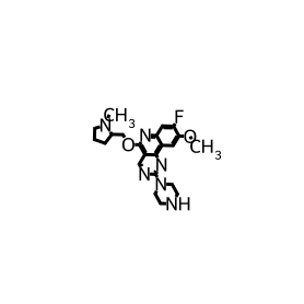 COc1cc2c(cc1F)nc(OCC1CCCN1C)c1cnc(N3CCNCC3)nc12